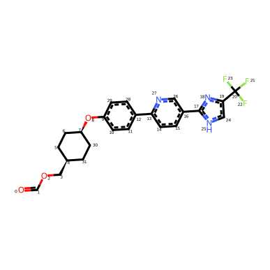 O=COC[C@H]1CC[C@@H](Oc2ccc(-c3ccc(-c4nc(C(F)(F)F)c[nH]4)cn3)cc2)CC1